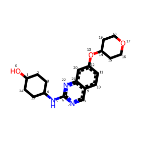 OC1CCC(Nc2ncc3ccc(OC4CCOCC4)cc3n2)CC1